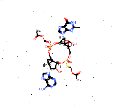 Cc1nc2c(ncn2[C@@H]2O[C@@H]3CO[P@](=O)(SCOC(=O)C(C)(C)C)O[C@H]4[C@@H](O)[C@H](n5cnc6c(N)ncnc65)[C@H]5CC54CO[P@](=O)(OCOC(=O)C(C)(C)C)O[C@@H]2[C@@H]3CO)c(=O)[nH]1